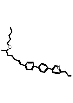 C=CCc1ccc(-c2ccc(-c3ccc(/C=C/CCCC(C)OCCCCC)cc3)cc2)cn1